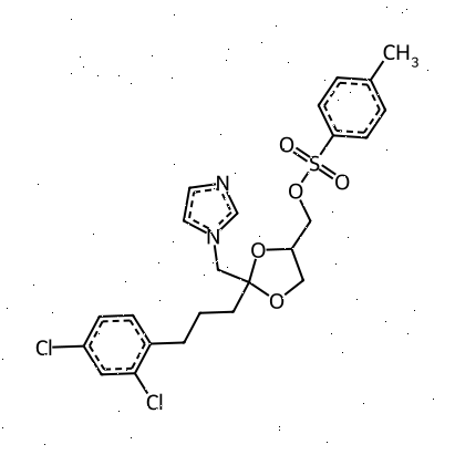 Cc1ccc(S(=O)(=O)OCC2COC(CCCc3ccc(Cl)cc3Cl)(Cn3ccnc3)O2)cc1